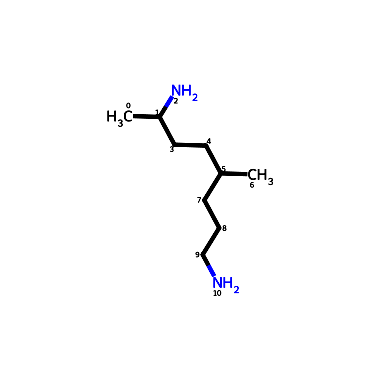 CC(N)CCC(C)CCCN